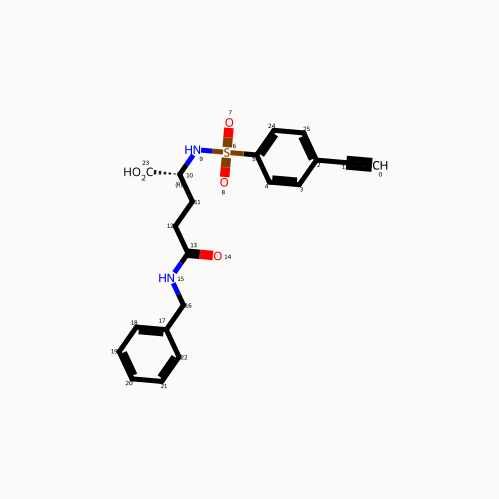 C#Cc1ccc(S(=O)(=O)N[C@H](CCC(=O)NCc2ccccc2)C(=O)O)cc1